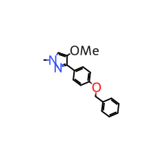 COc1cn(C)nc1-c1ccc(OCc2ccccc2)cc1